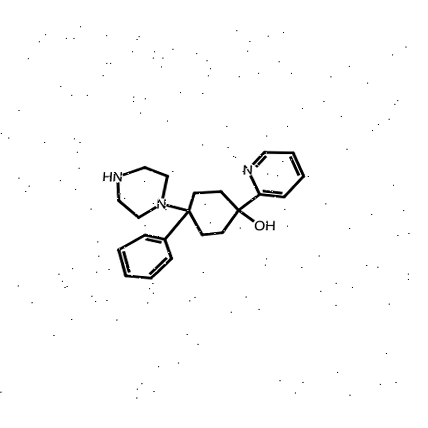 OC1(c2ccccn2)CCC(c2ccccc2)(N2CCNCC2)CC1